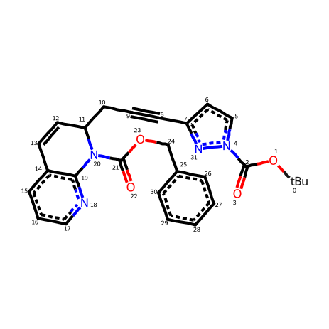 CC(C)(C)OC(=O)n1ccc(C#CCC2C=Cc3cccnc3N2C(=O)OCc2ccccc2)n1